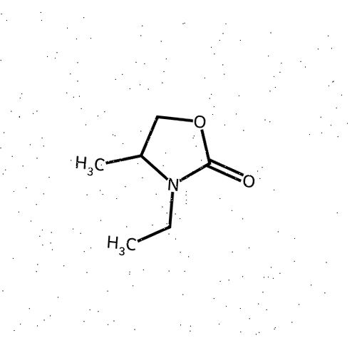 CCN1C(=O)OCC1C